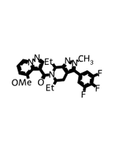 CCC1Cc2c(nn(C)c2-c2cc(F)c(F)c(F)c2)C(CC)N1C(=O)c1cnn2cccc(OC)c12